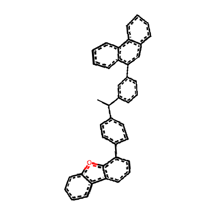 CC(c1ccc(-c2cccc3c2oc2ccccc23)cc1)c1cccc(-c2cc3ccccc3c3ccccc23)c1